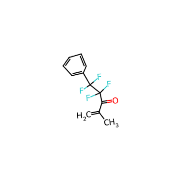 C=C(C)C(=O)C(F)(F)C(F)(F)c1ccccc1